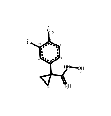 N=C(NO)C1(c2ccc(C(F)(F)F)c(Cl)c2)CC1